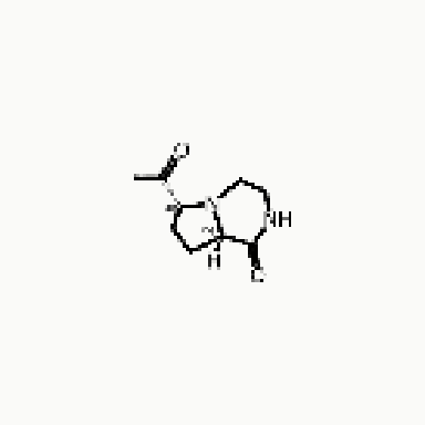 CC(=O)[C@H]1CC[C@H]2C(=O)NCCN12